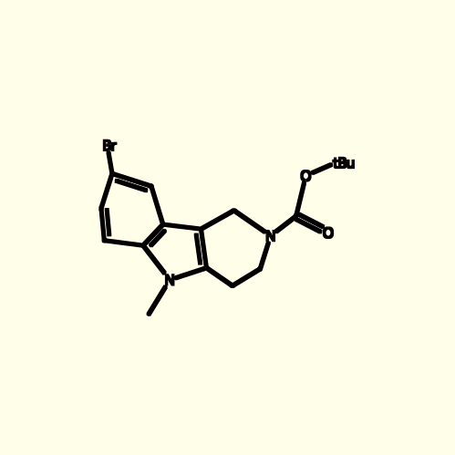 Cn1c2c(c3cc(Br)ccc31)CN(C(=O)OC(C)(C)C)CC2